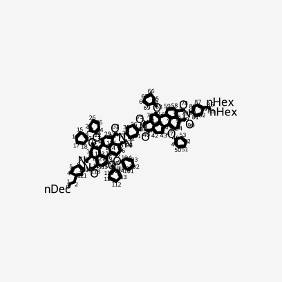 CCCCCCCCCCCCc1ccc2nc3c4cc(Oc5ccccc5)c5c6c(Oc7ccccc7)cc7c(=O)n8c9ccc(N%10C(=O)c%11ccc%12c%13c(Oc%14ccccc%14)cc%14c%15c(ccc(c%16c(Oc%17ccccc%17)cc(c%11c%12%16)C%10=O)c%15%13)C(=O)N(c%10ccc(C(CCCCCC)CCCCCC)cc%10)C%14=O)cc9nc8c8cc(Oc9ccccc9)c(c9c(Oc%10ccccc%10)cc(c(=O)n3c2c1)c4c95)c6c78